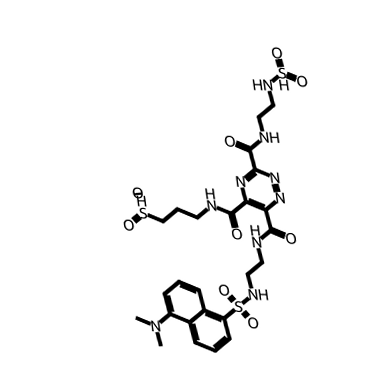 CN(C)c1cccc2c(S(=O)(=O)NCCNC(=O)c3nnc(C(=O)NCCN[SH](=O)=O)nc3C(=O)NCCC[SH](=O)=O)cccc12